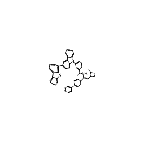 CC(N/C(=C\C1CCC1C)c1ccc(-c2ccccc2)cc1)c1cccc(-n2c3ccccc3c3cc(-c4cccc5c4sc4ccccc45)ccc32)c1